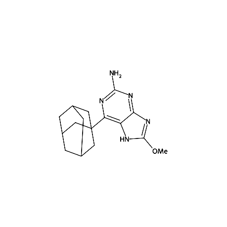 COc1nc2nc(N)nc(C34CC5CC(CC(C5)C3)C4)c2[nH]1